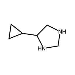 [CH]1NCC(C2CC2)N1